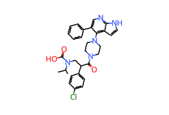 CC(C)N(CC(C(=O)N1CCN(c2c(-c3ccccc3)cnc3[nH]ccc23)CC1)c1ccc(Cl)cc1)C(=O)O